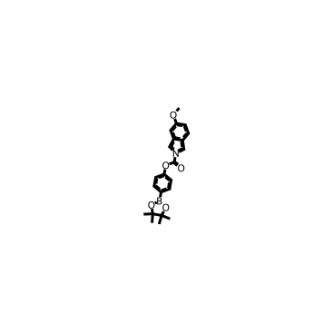 COc1ccc2cn(C(=O)Oc3ccc(B4OC(C)(C)C(C)(C)O4)cc3)cc2c1